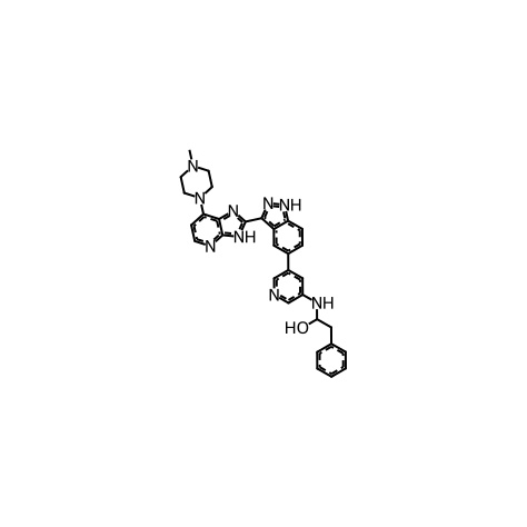 CN1CCN(c2ccnc3[nH]c(-c4n[nH]c5ccc(-c6cncc(NC(O)Cc7ccccc7)c6)cc45)nc23)CC1